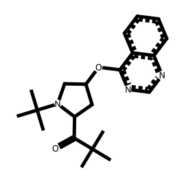 CC(C)(C)C(=O)C1CC(Oc2ncnc3ccccc23)CN1C(C)(C)C